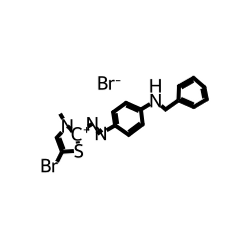 Cn1cc(Br)s[c+]1N=Nc1ccc(NCc2ccccc2)cc1.[Br-]